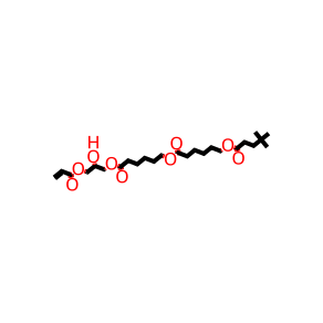 C=CC(=O)OCC(O)COC(=O)CCCCCOC(=O)CCCCCOC(=O)CCC(C)(C)C